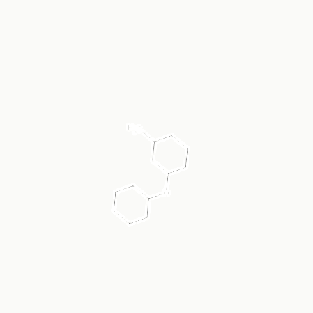 CC1CCCC(OC2CCCCC2)C1